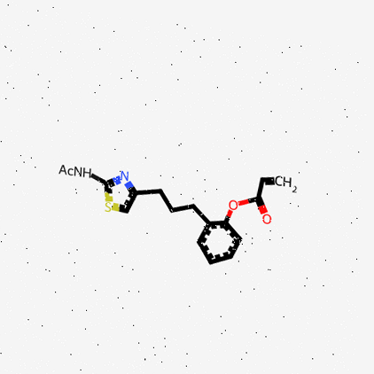 C=CC(=O)Oc1ccccc1CCCc1csc(NC(C)=O)n1